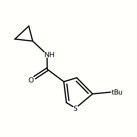 CC(C)(C)c1cc(C(=O)NC2CC2)cs1